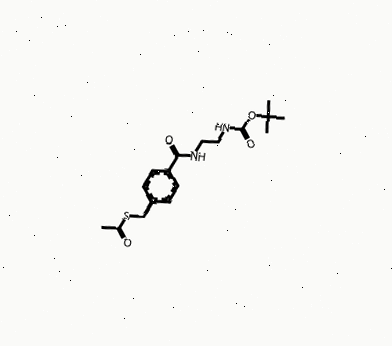 CC(=O)SCc1ccc(C(=O)NCCNC(=O)OC(C)(C)C)cc1